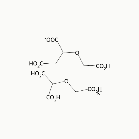 O=C(O)COC(C(=O)O)C(=O)O.O=C(O)COC(CC(=O)O)C(=O)[O-].[K+]